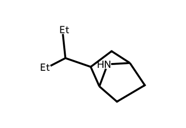 CCC(CC)C1CC2CCC1N2